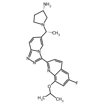 CC(C)Oc1cc(F)cc2ccc(-c3nnc4ccc([C@@H](C)N5CC[C@H](N)C5)cn34)nc12